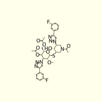 CO[C@@H]1[C@@H](n2cc(-c3cccc(F)c3)nn2)[C@@H](OC(C)=O)[C@@H](COC(C)=O)O[C@H]1S[C@@H]1CN(C(C)=O)C[C@H](n2cc(-c3cccc(F)c3)nn2)[C@H]1O